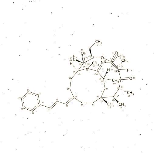 CC[C@H]1OC(=O)[C@@](C)(F)C(=O)[C@H](C)[C@@H](C)[C@]2(C)CC/C(=C/C=C/c3ccccc3)CC[C@H]([C@@H](C)/C(=N/C(C)=O)[C@H](C)C2)[C@]1(C)O